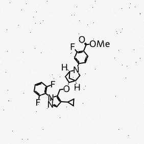 COC(=O)c1ccc(N2C[C@@H]3C[C@H]2C[C@H]3OCc2c(C3CC3)cnn2-c2c(F)cccc2F)cc1F